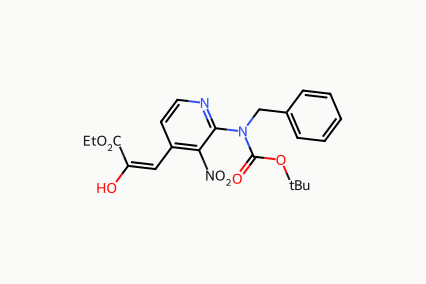 CCOC(=O)/C(O)=C\c1ccnc(N(Cc2ccccc2)C(=O)OC(C)(C)C)c1[N+](=O)[O-]